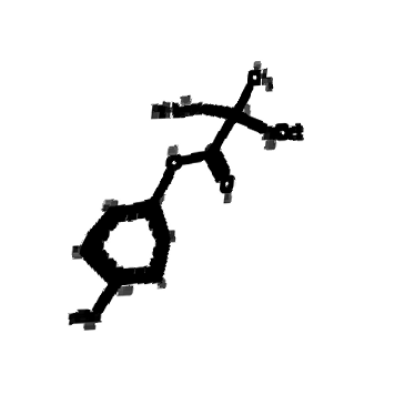 CCCCCCCCC(C)(CCCCCC)C(=O)Oc1ccc(CCCC)cc1